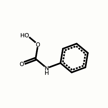 O=C(Nc1ccccc1)OO